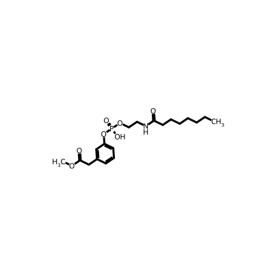 CCCCCCCC(=O)NCCOP(=O)(O)Oc1cccc(CC(=O)OC)c1